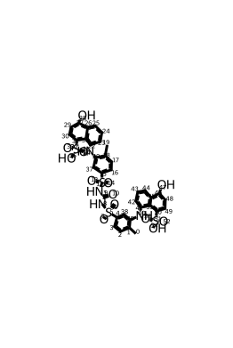 Cc1ccc(S(=O)(=O)NC(=O)NS(=O)(=O)c2ccc(C)c(Nc3cccc4c(O)ccc(S(=O)(=O)O)c34)c2)cc1Nc1cccc2c(O)ccc(S(=O)(=O)O)c12